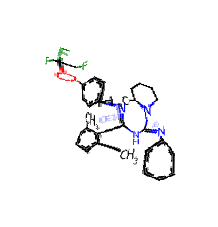 Cc1cccc(C)c1/C(=N\c1ccc(OC(F)(F)F)cc1)N/C(=N\c1ccccc1)N1CCCCC1C